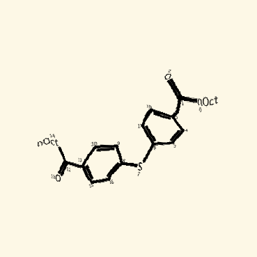 CCCCCCCCC(=O)c1ccc(Sc2ccc(C(=O)CCCCCCCC)cc2)cc1